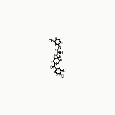 O=C(c1ccc(Cl)c(Cl)c1)N1CCC(F)(CNCOc2cccc(Cl)c2)CC1